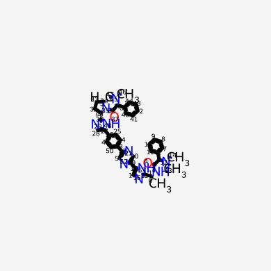 CC(NC(=O)C(c1ccccc1)N(C)C)c1ncc(-c2cnc(-c3ccc(-c4cnc([C@@H]5CCCN5C(=O)C(c5ccccc5)N(C)C)[nH]4)cc3)cn2)[nH]1